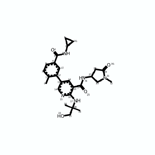 Cc1ccc(C(=O)NC2CC2)cc1-c1cnc(NC(C)(C)CO)c(C(=O)NC2CC(=O)N(C)C2)c1